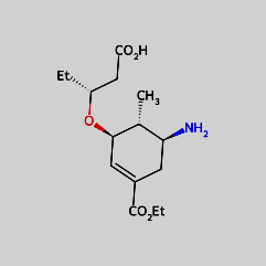 CCOC(=O)C1=C[C@@H](O[C@H](CC)CC(=O)O)[C@H](C)[C@@H](N)C1